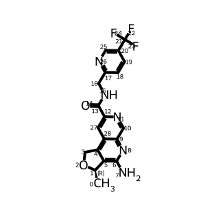 C[C@H]1OCc2c1c(N)nc1cnc(C(=O)NCc3ccc(C(F)(F)F)cn3)cc21